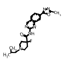 Cc1nnc(-c2ccc3cnc(NC(=O)C4(F)CCN(CC(C)C)CC4)nc3c2)o1